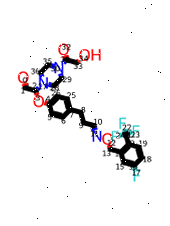 O=CC(Oc1ccc(CCC=NOCc2cc(F)ccc2C(F)(F)F)cc1)N1CCN(C(=O)CO)CC1